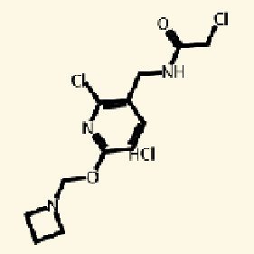 Cl.O=C(CCl)NCc1ccc(OCN2CCC2)nc1Cl